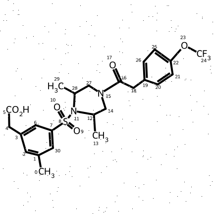 Cc1cc(CC(=O)O)cc(S(=O)(=O)N2C(C)CN(C(=O)Cc3ccc(OC(F)(F)F)cc3)CC2C)c1